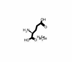 N[C@@H](CCC(=O)O)C(=O)O.[SeH2].[SeH2]